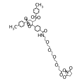 Cc1ccc(S(=O)(=O)CC(CS(=O)(=O)c2ccc(C)cc2)C(=O)c2ccc(C(=O)NCCOCCOCCOCCOCCC(=O)ON3C(=O)CCC3=O)cc2)cc1